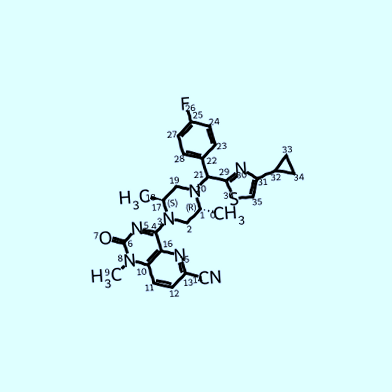 C[C@@H]1CN(c2nc(=O)n(C)c3ccc(C#N)nc23)[C@@H](C)CN1C(c1ccc(F)cc1)c1nc(C2CC2)cs1